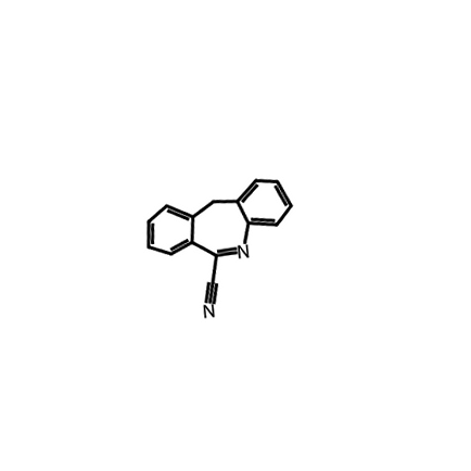 N#CC1=Nc2ccccc2Cc2ccccc21